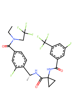 CCN(CC(F)(F)F)C(=O)c1ccc([C@@H](C)NC(=O)C2(NC(=O)c3cc(F)cc(C(F)(F)F)c3)CC2)c(F)c1